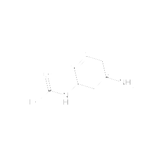 CC(=O)NC1C=CCC(N)C1